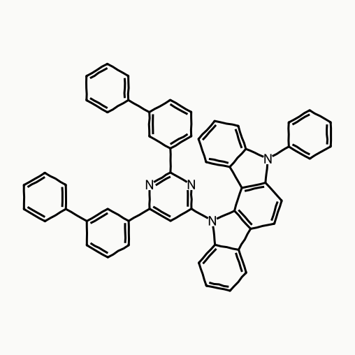 c1ccc(-c2cccc(-c3cc(-n4c5ccccc5c5ccc6c(c7ccccc7n6-c6ccccc6)c54)nc(-c4cccc(-c5ccccc5)c4)n3)c2)cc1